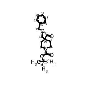 CC(C)(C)OC(=O)N1CCC(C=O)(COCc2ccccc2)CC1